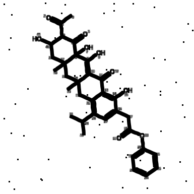 CC(=O)C1C(=O)C2(O)C(O)=C3C(=O)c4c(O)c(CC(=O)Oc5ccccc5)cc(C(C)C)c4CC3(C)CC2(C)CC1O